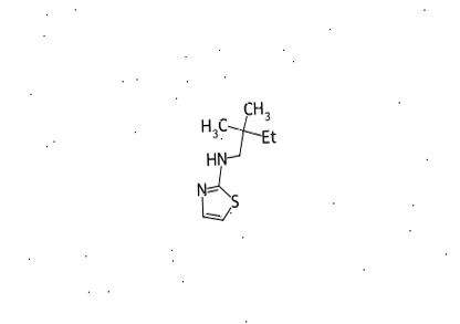 CCC(C)(C)CNc1nccs1